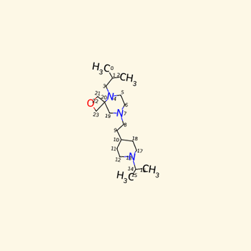 CC(C)CN1CCN(CCC2CCN(C(C)C)CC2)CC12COC2